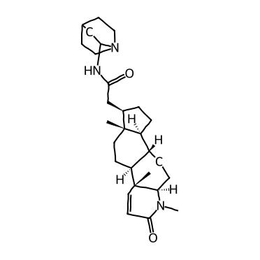 CN1C(=O)C=C[C@]2(C)[C@H]3CC[C@]4(C)[C@@H](CC(=O)NC5CC6CCN5CC6)CC[C@H]4[C@@H]3CC[C@@H]12